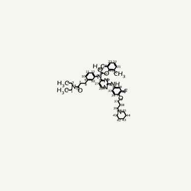 CCN(CC)C(=O)CCc1cccc(N(C(=O)Oc2c(C)cccc2C)c2ccnc(Nc3ccc(OCCCN4CCCCC4)c(F)c3)n2)c1